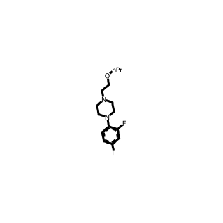 CCCOCCN1CCN(c2ccc(F)cc2F)CC1